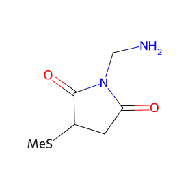 CSC1CC(=O)N(CN)C1=O